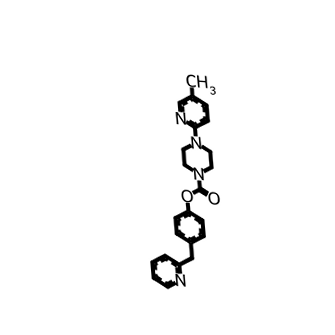 Cc1ccc(N2CCN(C(=O)Oc3ccc(Cc4ccccn4)cc3)CC2)nc1